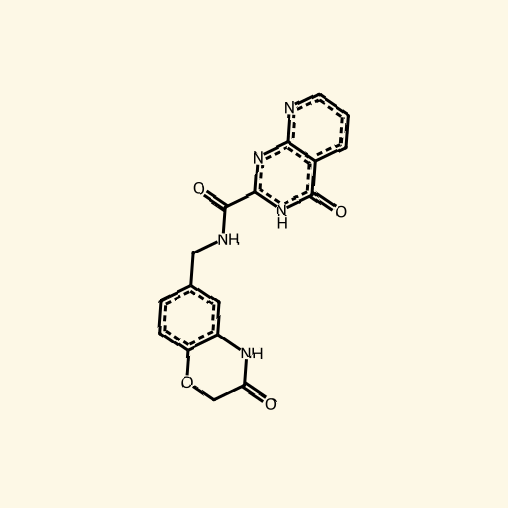 O=C1COc2ccc(CNC(=O)c3nc4ncccc4c(=O)[nH]3)cc2N1